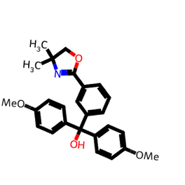 COc1ccc(C(O)(c2ccc(OC)cc2)c2cccc(C3=NC(C)(C)CO3)c2)cc1